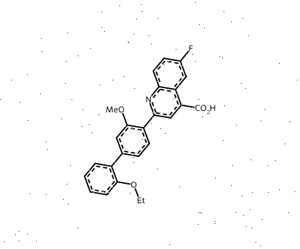 CCOc1ccccc1-c1ccc(-c2cc(C(=O)O)c3cc(F)ccc3n2)c(OC)c1